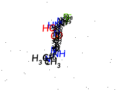 CN(C)[C@H]1C[C@@H](Nc2ccc(-c3ccc(S(=O)(=O)N4CC[C@@H](Nc5ccc(C(F)(F)F)cn5)[C@@H](O)C4)cc3)cn2)C1